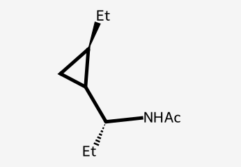 CC[C@@H]1CC1[C@@H](CC)NC(C)=O